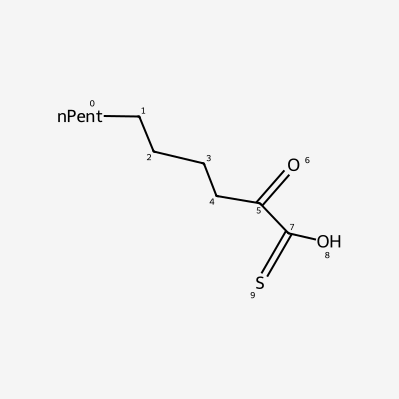 CCCCCCCCCC(=O)C(O)=S